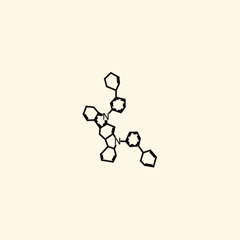 C1=CCC(c2cccc(N3C4=Cc5c(c6c(n5-c5cccc(C7C=CCCC7)c5)CCC=C6)CC4C4C=CC=CC43)c2)C=C1